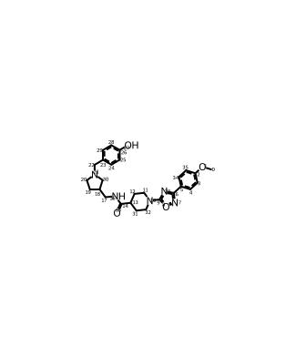 COc1ccc(-c2noc(N3CCC(C(=O)NCC4CCN(Cc5ccc(O)cc5)C4)CC3)n2)cc1